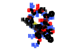 CC(=O)N[C@H]1C(=O)N[C@H](CCC(N)=O)C(=O)N[C@@H]([C@@H](C)O)C(=O)N[C@@H](Cc2c[nH]c3ccccc23)C(=O)N[C@@H](CCC(N)=O)C(=O)N[C@H](C(=O)N[C@@H](Cc2ccc(OCCN)cc2)C(=O)N[C@@H](Cc2ccc3ccccc3c2)C(=O)NC2(C(=O)N[C@@H](CCC(=O)O)C(=O)N[C@@H](CC(N)=O)C(=O)N[C@@H](CC(N)=O)C(N)=O)CCOCC2)C(C)(C)SSC1(C)C